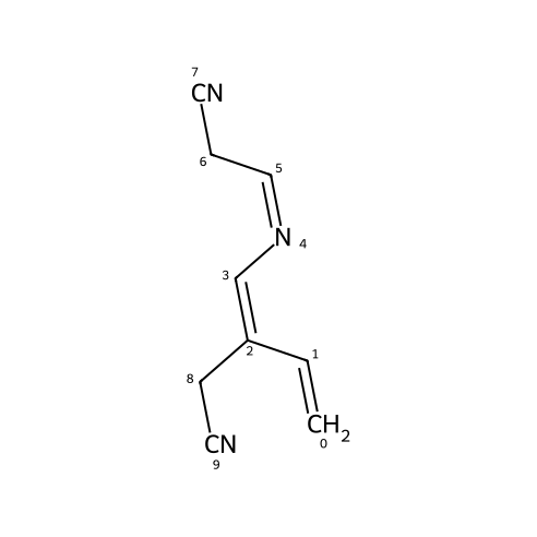 C=C/C(=C\N=C/CC#N)CC#N